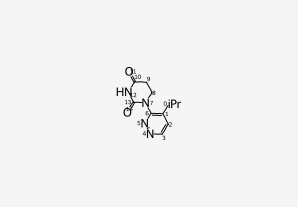 CC(C)c1ccnnc1N1CCC(=O)NC1=O